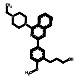 CCN1CCN(c2nc(-c3ccc(OC)c(CCCO)c3)cc3ccccc23)CC1